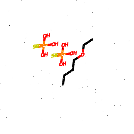 CCCCOCC.OP(O)(O)=S.OP(O)(O)=S